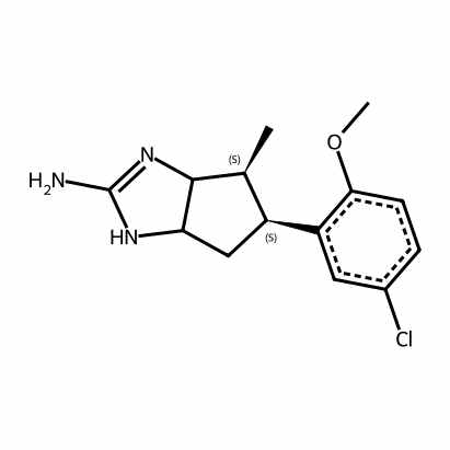 COc1ccc(Cl)cc1[C@H]1CC2NC(N)=NC2[C@H]1C